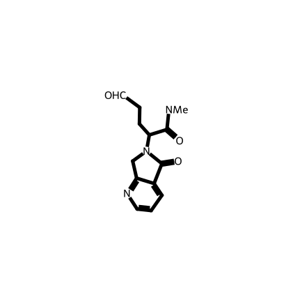 CNC(=O)C(CCC=O)N1Cc2ncccc2C1=O